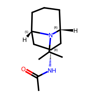 CC(=O)N[C@H]1C[C@H]2CCC[C@@H](C1)N2C(C)C